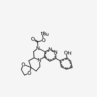 CC(C)(C)OC(=O)N1CC2CC3(CCN2c2cc(-c4ccccc4O)nnc21)OCCO3